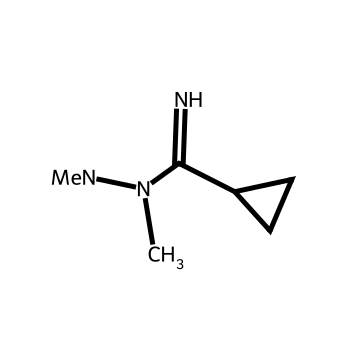 CNN(C)C(=N)C1CC1